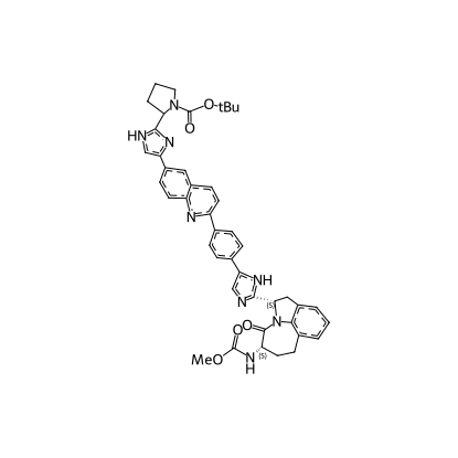 COC(=O)N[C@H]1CCc2cccc3c2N(C1=O)[C@H](c1ncc(-c2ccc(-c4ccc5cc(-c6c[nH]c(C7CCCN7C(=O)OC(C)(C)C)n6)ccc5n4)cc2)[nH]1)C3